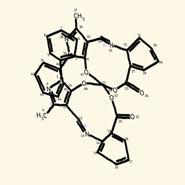 Cc1nn(-c2ccccc2)c2c1/C=N/c1ccccc1C(=O)OC1(OC(=O)c3ccccc3/N=C/c3c(C)nn(-c4ccccc4)c3O1)O2